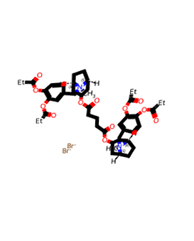 CCC(=O)Oc1ccc(C[N+]2(C)[C@@H]3CC[C@H]2CC(OC(=O)CCCC(=O)OC2C[C@H]4CC[C@@H](C2)[N+]4(C)Cc2ccc(OC(=O)CC)c(OC(=O)CC)c2)C3)cc1OC(=O)CC.[Br-].[Br-]